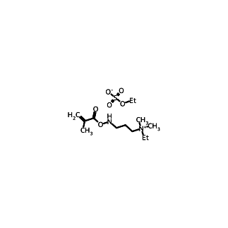 C=C(C)C(=O)ONCCC[N+](C)(C)CC.CCOS(=O)(=O)[O-]